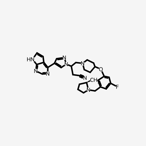 C[C@@H]1CCCN1Cc1cc(F)cc(OC2CCN(CC(CC#N)n3cc(-c4ncnc5[nH]ccc45)cn3)CC2)c1